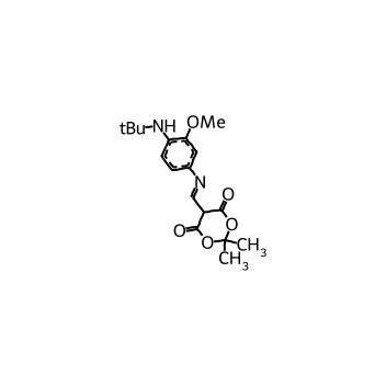 COc1cc(/N=C/C2C(=O)OC(C)(C)OC2=O)ccc1NC(C)(C)C